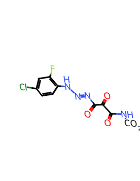 CCOC(=O)NC(=O)C(=O)C(=O)N=NNc1ccc(Cl)cc1F